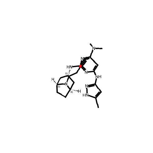 Cc1cc(Nc2cc(N(C)C)nc(N[C@@H]3C[C@H]4CC[C@@H](C3)N4CCC#N)n2)n[nH]1